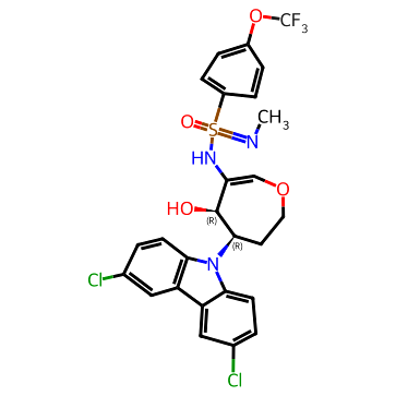 CN=S(=O)(NC1=COCC[C@@H](n2c3ccc(Cl)cc3c3cc(Cl)ccc32)[C@H]1O)c1ccc(OC(F)(F)F)cc1